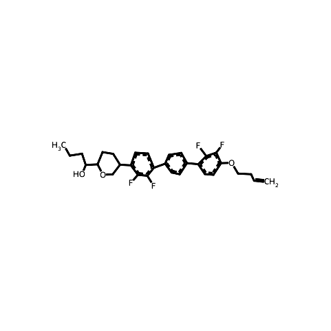 C=CCCOc1ccc(-c2ccc(-c3ccc(C4CCC(C(O)CCC)OC4)c(F)c3F)cc2)c(F)c1F